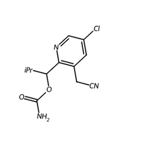 CC(C)C(OC(N)=O)c1ncc(Cl)cc1CC#N